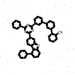 N#Cc1ccccc1-c1cccc(-c2cccc(-c3nc(-c4ccccc4)nc(-c4ccc5c(c4)oc4cccc(-c6ccccc6)c45)n3)c2)c1